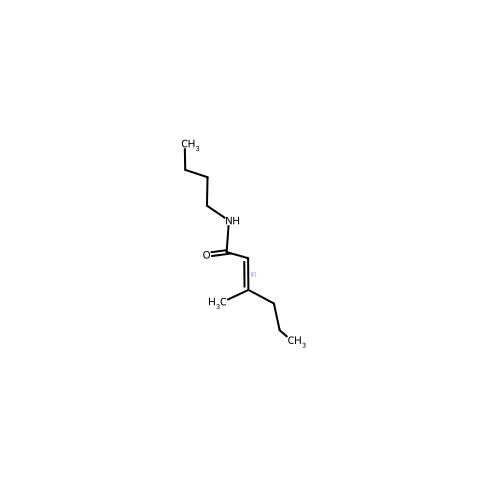 CCCCNC(=O)/C=C(\C)CCC